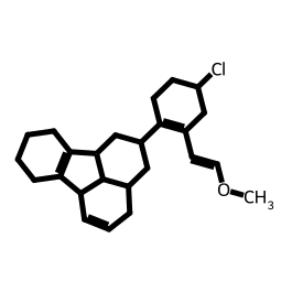 CO/C=C/C1=C(C2CC3CC=CC4C5=C(CCCC5)C(C2)C34)CCC(Cl)C1